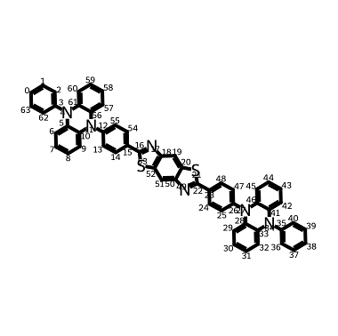 c1ccc(N2c3ccccc3N(c3ccc(-c4nc5cc6sc(-c7ccc(N8c9ccccc9N(c9ccccc9)c9ccccc98)cc7)nc6cc5s4)cc3)c3ccccc32)cc1